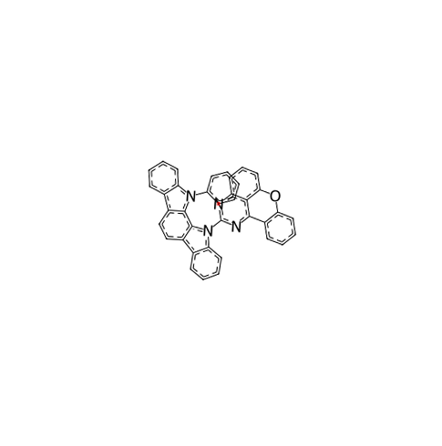 c1ccc(-n2c3ccccc3c3ccc4c5ccccc5n(-c5nc6c7c(cccc7n5)Oc5ccccc5-6)c4c32)cc1